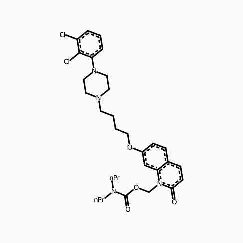 CCCN(CCC)C(=O)OCn1c(=O)ccc2ccc(OCCCCN3CCN(c4cccc(Cl)c4Cl)CC3)cc21